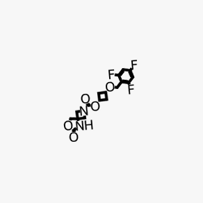 O=C1NC2(CO1)CN(C(=O)O[C@H]1C[C@@H](OCc3c(F)cc(F)cc3F)C1)C2